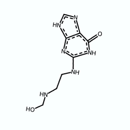 O=c1[nH]c(NCCNCO)nc2[nH]cnc12